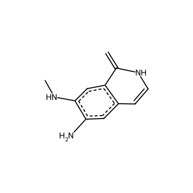 C=C1NC=Cc2cc(N)c(NC)cc21